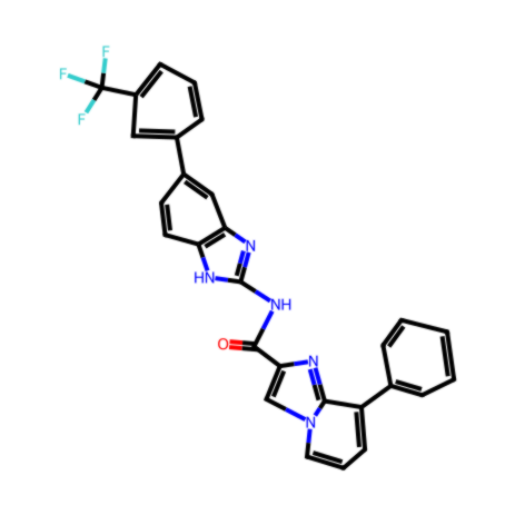 O=C(Nc1nc2cc(-c3cccc(C(F)(F)F)c3)ccc2[nH]1)c1cn2cccc(-c3ccccc3)c2n1